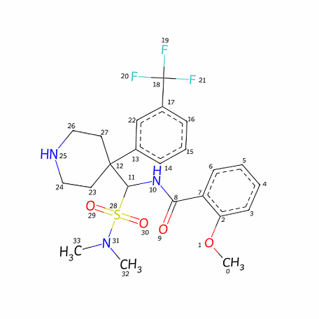 COc1ccccc1C(=O)NC(C1(c2cccc(C(F)(F)F)c2)CCNCC1)S(=O)(=O)N(C)C